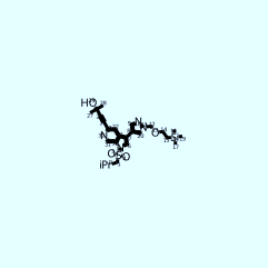 CC(C)CS(=O)(=O)n1cc(-c2cnn(COCC[Si](C)(C)C)c2)c2cc(C#CC(C)(C)O)ncc21